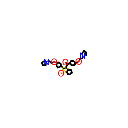 O=C(c1ccc(OCCN2CCCC2)cc1)c1c(-c2ccc(OCCN3CCCC3)cc2)[s+]([O-])c2ccccc12